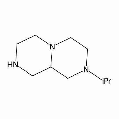 CC(C)N1CCN2CCNCC2C1